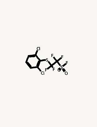 O=S(=O)(F)C(F)(F)C(F)(F)Sc1c(Cl)cccc1Cl